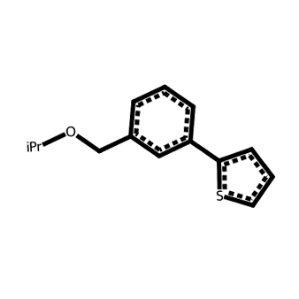 CC(C)OCc1cccc(-c2cccs2)c1